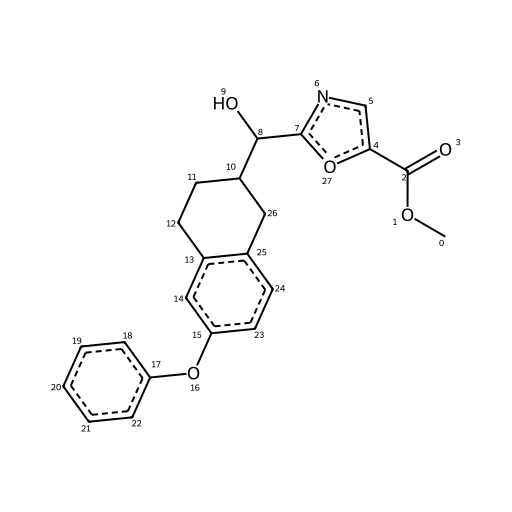 COC(=O)c1cnc(C(O)C2CCc3cc(Oc4ccccc4)ccc3C2)o1